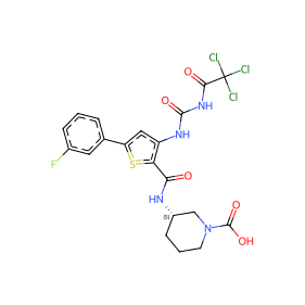 O=C(NC(=O)C(Cl)(Cl)Cl)Nc1cc(-c2cccc(F)c2)sc1C(=O)N[C@H]1CCCN(C(=O)O)C1